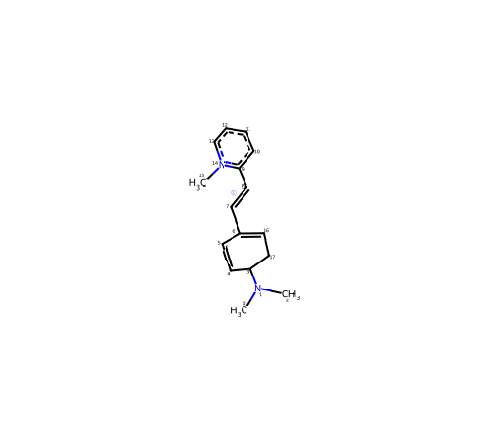 CN(C)C1C=CC(/C=C/c2cccc[n+]2C)=CC1